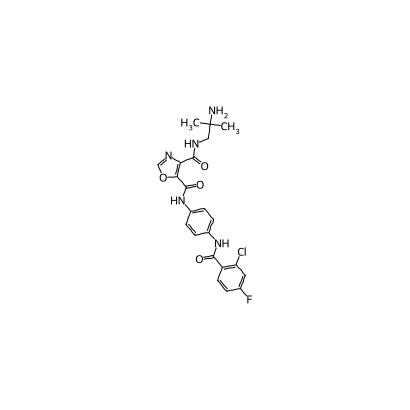 CC(C)(N)CNC(=O)c1ncoc1C(=O)Nc1ccc(NC(=O)c2ccc(F)cc2Cl)cc1